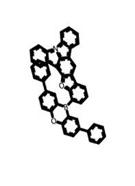 c1ccc(-c2ccc3c(c2)B(c2cccc4c2oc2c4cc4c5ccccc5n5c6ccccc6c2c45)c2cc(-c4ccccc4)ccc2O3)cc1